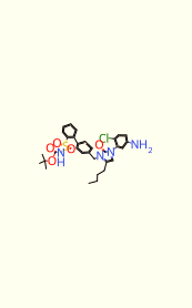 CCCCc1cn(-c2cc(N)ccc2Cl)c(=O)n1Cc1ccc(-c2ccccc2S(=O)(=O)NC(=O)OC(C)(C)C)cc1